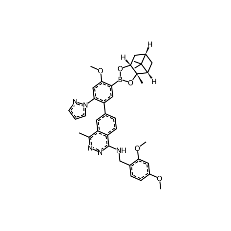 COc1ccc(CNc2nnc(C)c3cc(-c4cc(B5O[C@@H]6C[C@@H]7C[C@@H](C7(C)C)[C@]6(C)O5)c(OC)cc4-n4cccn4)ccc23)c(OC)c1